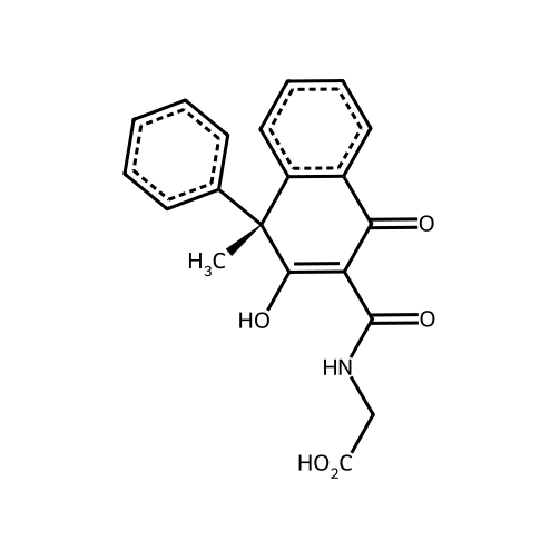 C[C@]1(c2ccccc2)C(O)=C(C(=O)NCC(=O)O)C(=O)c2ccccc21